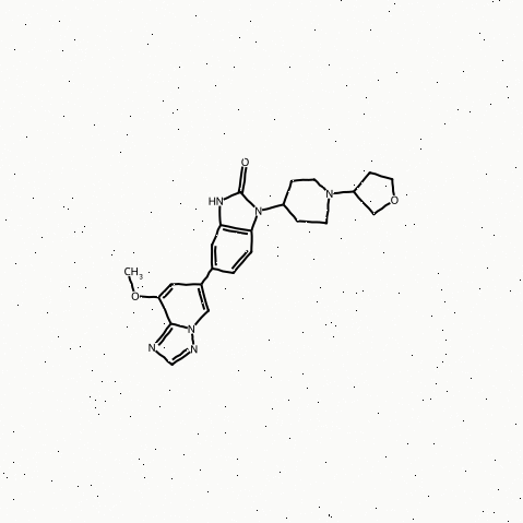 COc1cc(-c2ccc3c(c2)[nH]c(=O)n3C2CCN(C3CCOC3)CC2)cn2ncnc12